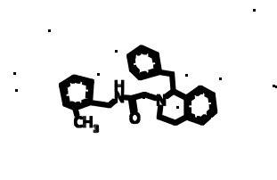 Cc1ccccc1CNC(=O)CN1CCc2ccccc2C1Cc1ccccc1